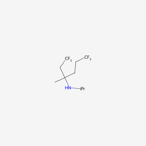 CC(C)NC(C)(CCC(F)(F)F)CC(F)(F)F